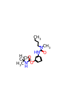 CCCCN(C)C(=O)Nc1cccc(OC(=O)NC(C)(C)C)c1